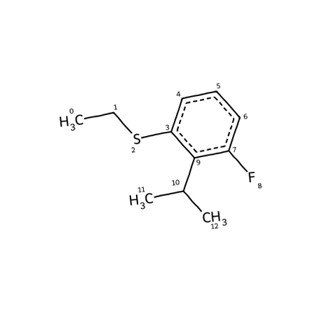 CCSc1cccc(F)c1C(C)C